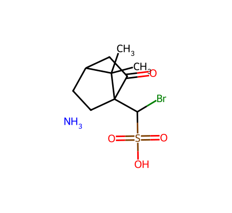 CC1(C)C2CCC1(C(Br)S(=O)(=O)O)C(=O)C2.N